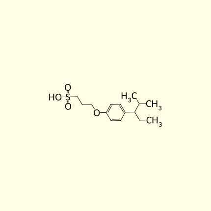 CCC(c1ccc(OCCCS(=O)(=O)O)cc1)C(C)C